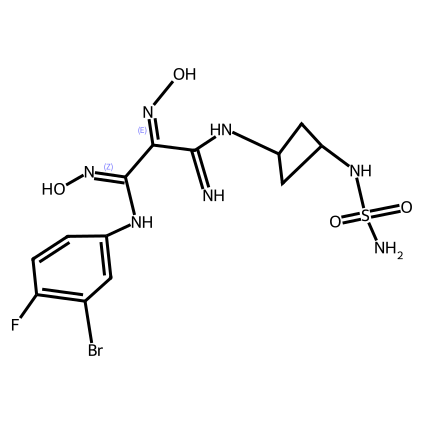 N=C(NC1CC(NS(N)(=O)=O)C1)C(=N\O)/C(=N/O)Nc1ccc(F)c(Br)c1